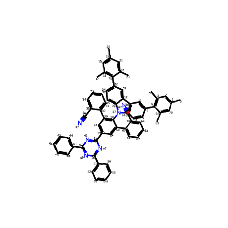 Cc1cc(C)c(-c2ccc3c(c2)c2cc(-c4c(C)cc(C)cc4C)ccc2n3-c2c(-c3ccccc3C#N)cc(-c3nc(-c4ccccc4)nc(-c4ccccc4)n3)cc2-c2ccccc2C#N)c(C)c1